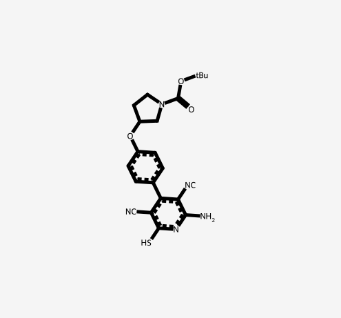 [C-]#[N+]c1c(N)nc(S)c(C#N)c1-c1ccc(OC2CCN(C(=O)OC(C)(C)C)C2)cc1